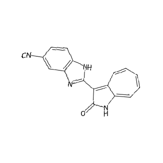 [C-]#[N+]c1ccc2[nH]c(-c3c4cccccc-4[nH]c3=O)nc2c1